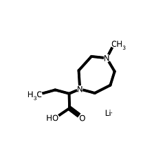 CCC(C(=O)O)N1CCCN(C)CC1.[Li]